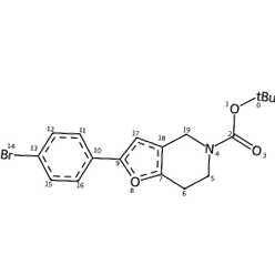 CC(C)(C)OC(=O)N1CCc2oc(-c3ccc(Br)cc3)cc2C1